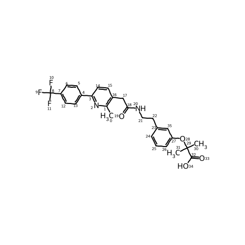 Cc1nc(-c2ccc(C(F)(F)F)cc2)ccc1CC(=O)NCCc1cccc(OC(C)(C)C(=O)O)c1